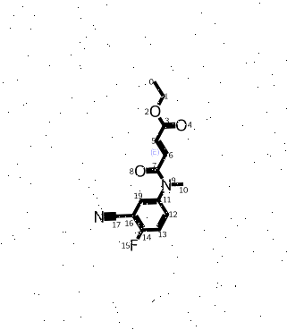 CCOC(=O)/C=C/C(=O)N(C)c1ccc(F)c(C#N)c1